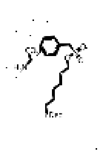 CCCCCCCCCCCCCCCCOS(=O)(=O)Cc1ccccc1.NCC(=O)O